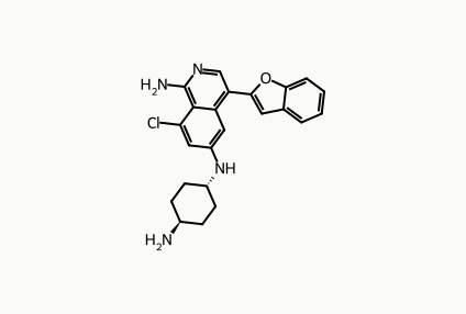 Nc1ncc(-c2cc3ccccc3o2)c2cc(N[C@H]3CC[C@H](N)CC3)cc(Cl)c12